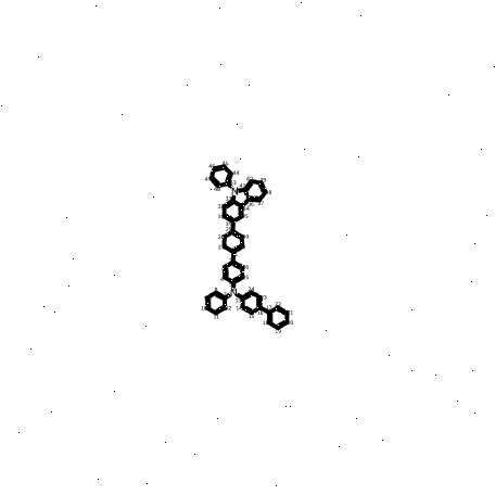 C1=C(c2ccc(N(c3ccccc3)c3ccc(-c4ccccc4)cc3)cc2)CCC(c2ccc3c(c2)c2ccccc2n3-c2ccccc2)=C1